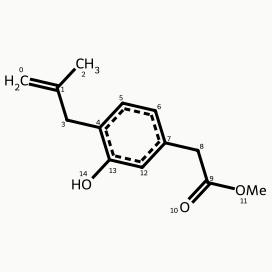 C=C(C)Cc1ccc(CC(=O)OC)cc1O